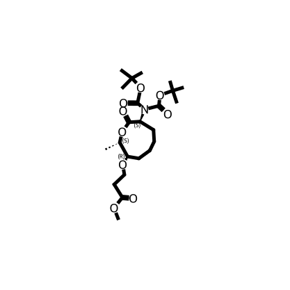 COC(=O)CCO[C@@H]1CCCC[C@H](N(C(=O)OC(C)(C)C)C(=O)OC(C)(C)C)C(=O)O[C@H]1C